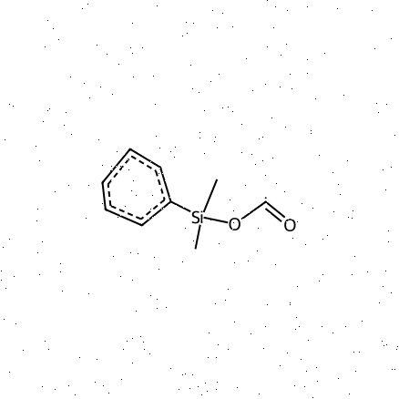 C[Si](C)(O[C]=O)c1ccccc1